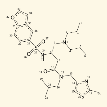 CCCN(CCC)C[C@H](CC(=O)N(Cc1csc(C)n1)CC(C)C)NS(=O)(=O)c1ccc2occc2c1